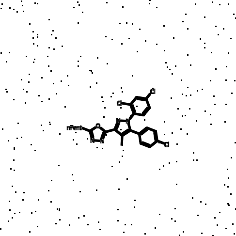 CCCCCc1nnc(-c2nn(-c3ccc(Cl)cc3Cl)c(-c3ccc(Cl)cc3)c2C)o1